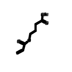 C=CC(=O)OCCCC(=O)OC(C)=O